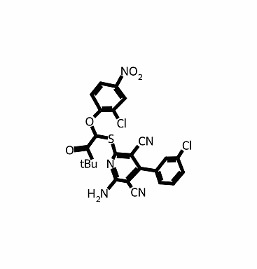 CC(C)(C)C(=O)C(Oc1ccc([N+](=O)[O-])cc1Cl)Sc1nc(N)c(C#N)c(-c2cccc(Cl)c2)c1C#N